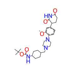 COc1cc(C2CCC(=O)NC2=O)ccc1N1CCN(CC2CCC(NC(=O)OC(C)(C)C)CC2)CC1